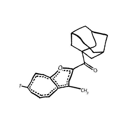 Cc1c(C(=O)C23CC4CC(CC(C4)C2)C3)oc2cc(F)ccc12